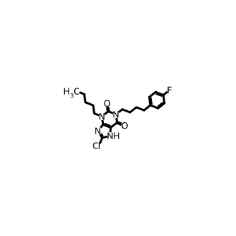 CCCCCn1c(=O)n(CCCCc2ccc(F)cc2)c(=O)c2[nH]c(Cl)nc21